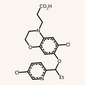 CCC(Oc1cc2c(cc1Cl)N(CCC(=O)O)CCO2)c1ccc(Cl)cn1